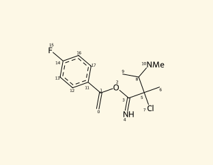 C=C(OC(=N)C(C)(Cl)C(C)NC)c1ccc(F)cc1